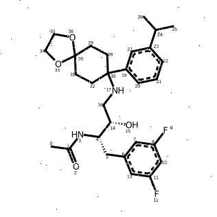 CC(=O)N[C@@H](Cc1cc(F)cc(F)c1)[C@@H](O)CNC1(c2cccc(C(C)C)c2)CCC2(CC1)OCCO2